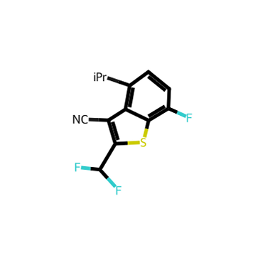 CC(C)c1ccc(F)c2sc(C(F)F)c(C#N)c12